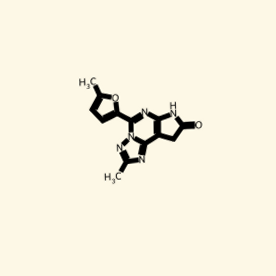 Cc1nc2c3c(nc(-c4ccc(C)o4)n2n1)NC(=O)C3